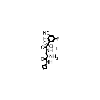 CC(C)(C(=O)NC[C@H](N)C(=O)NC1CCC1)c1cc(F)cc(C#N)c1